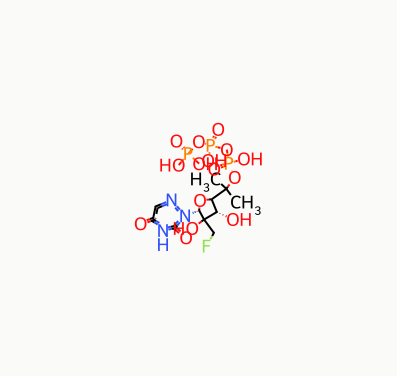 CC(C)(OP(=O)(O)OP(=O)(O)OP(=O)(O)O)C1O[C@@H](n2ncc(=O)[nH]c2=O)C(O)(CF)[C@H]1O